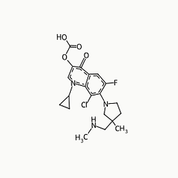 CNCC1(C)CCN(c2c(F)cc3c(=O)c(OC(=O)O)cn(C4CC4)c3c2Cl)C1